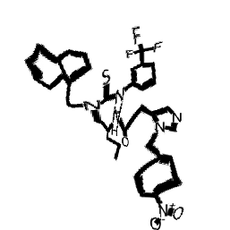 CCC[C@@H](CN(Cc1cccc2ccccc12)C(=S)Nc1cccc(C(F)(F)F)c1)NC(=O)Cc1cncn1Cc1ccc([N+](=O)[O-])cc1